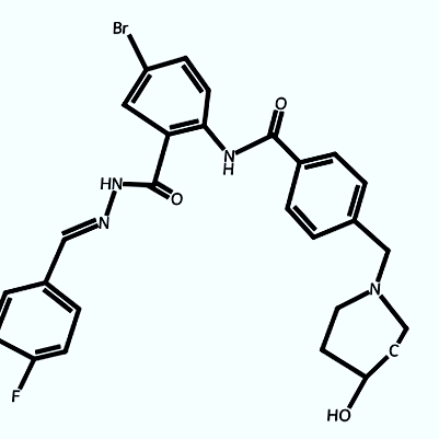 O=C(Nc1ccc(Br)cc1C(=O)NN=Cc1ccc(F)cc1)c1ccc(CN2CCC(O)CC2)cc1